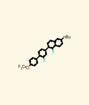 CCCCc1ccc2c(F)c(-c3ccc(-c4ccc(OC(F)(F)F)cc4)c(F)c3)ccc2c1